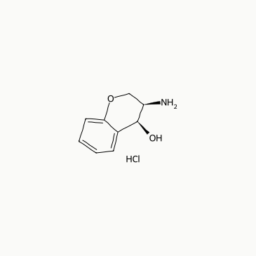 Cl.N[C@@H]1COc2ccccc2[C@@H]1O